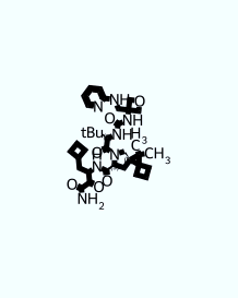 CC(C)(C)[C@H](NC(=O)NC1(CNc2ccccn2)COC1)C(=O)N1C[C@]2(C[C@H]1C(=O)NC(CC1CCC1)C(=O)C(N)=O)C(C)(C)C21CCC1